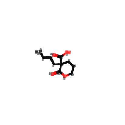 CC=CCC1(C(=O)O)CCCOC1=O